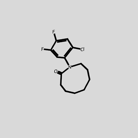 O=C1CCCCCCCN1c1cc(F)c(F)cc1Cl